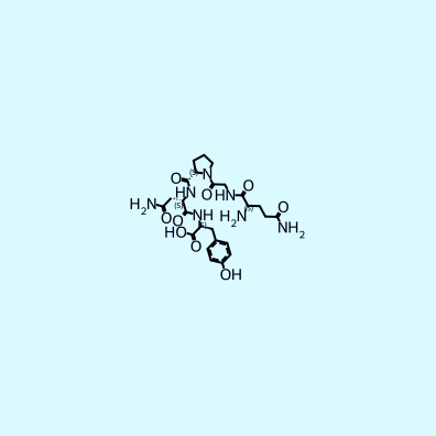 NC(=O)CC[C@H](N)C(=O)NCC(=O)N1CCC[C@H]1C(=O)N[C@@H](CC(N)=O)C(=O)N[C@@H](Cc1ccc(O)cc1)C(=O)O